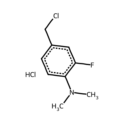 CN(C)c1ccc(CCl)cc1F.Cl